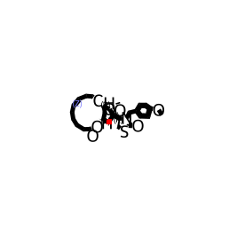 COc1ccc(CN2C(=O)SC[C@H]2[C@@]2(OC)C[C@H]3C[C@@H](CCC/C=C\CCCCC(=O)O3)O2)cc1